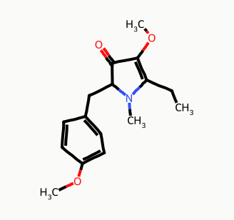 CCC1=C(OC)C(=O)C(Cc2ccc(OC)cc2)N1C